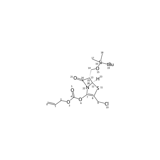 C=CCOC(=O)OC1=C(CCl)S[C@@H]2[C@@H](CO[Si](C)(C)C(C)(C)C)C(=O)N12